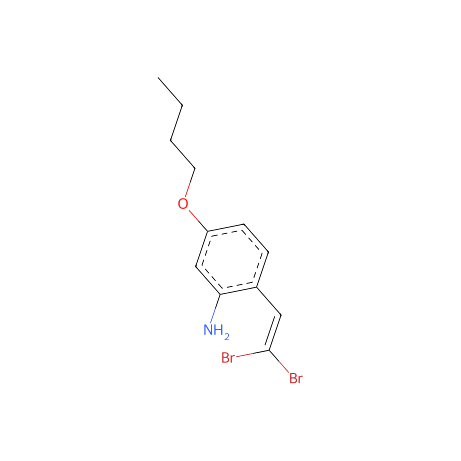 CCCCOc1ccc(C=C(Br)Br)c(N)c1